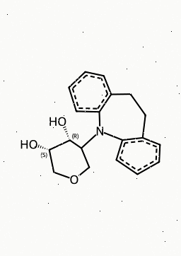 O[C@@H]1C(N2c3ccccc3CCc3ccccc32)COC[C@@H]1O